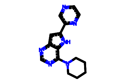 c1cnc(-c2cc3ncnc(N4CCCCC4)c3[nH]2)cn1